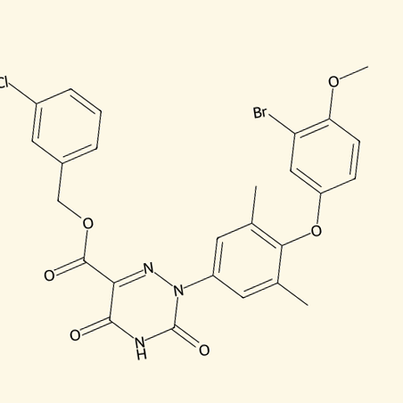 COc1ccc(Oc2c(C)cc(-n3nc(C(=O)OCc4cccc(Cl)c4)c(=O)[nH]c3=O)cc2C)cc1Br